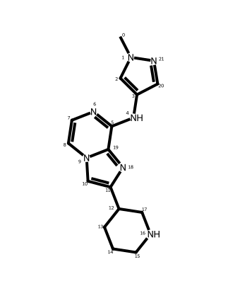 Cn1cc(Nc2nccn3cc(C4CCCNC4)nc23)cn1